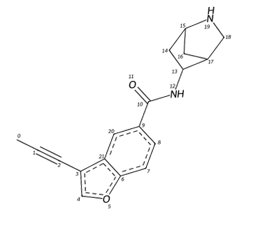 CC#Cc1coc2ccc(C(=O)NC3CC4CC3CN4)cc12